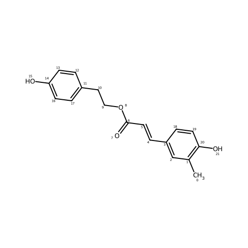 Cc1cc(/C=C/C(=O)OCCc2ccc(O)cc2)ccc1O